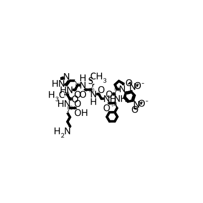 CSC[C@H](NC(=O)CNC(=O)[C@H](CC1CCCCC1)NC(=O)[C@@H]1CCCN1c1ccc([N+](=O)[O-])cc1[N+](=O)[O-])C(=O)N[C@@H](Cc1c[nH]cn1)C(=O)N[C@@H](C)C(=O)N[C@@H](CCCCN)C(=O)O